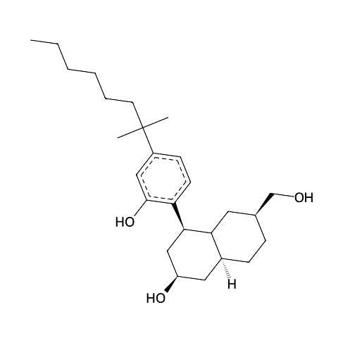 CCCCCCC(C)(C)c1ccc([C@@H]2C[C@H](O)C[C@@H]3CC[C@H](CO)CC32)c(O)c1